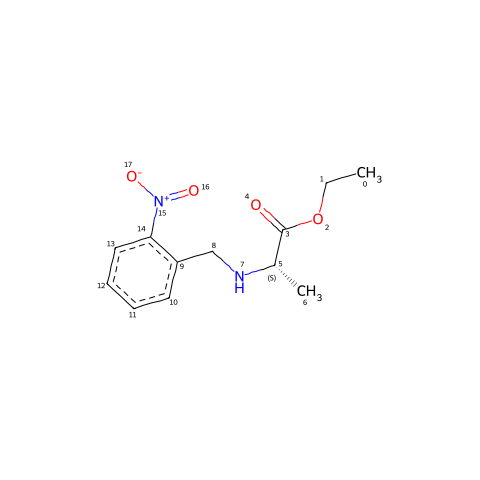 CCOC(=O)[C@H](C)NCc1ccccc1[N+](=O)[O-]